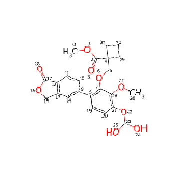 COC(=O)C1(COc2c(-c3ccc4c(c3)COC4=O)ccc(OC(O)O)c2OC)CCC1